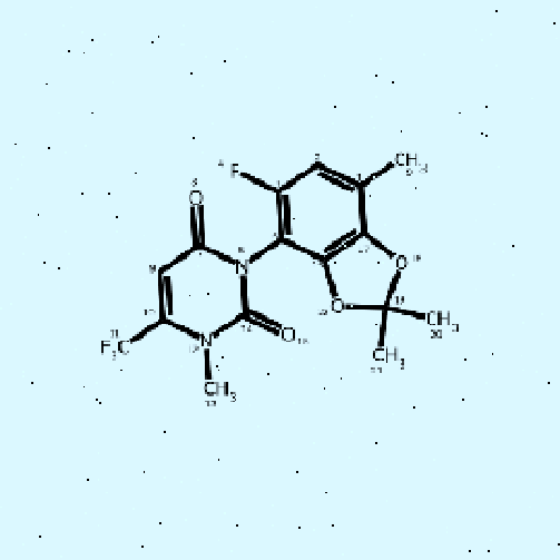 Cc1cc(F)c(-n2c(=O)cc(C(F)(F)F)n(C)c2=O)c2c1OC(C)(C)O2